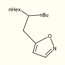 CCCCCCC(CCCC)Cc1ccno1